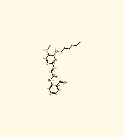 CCCCCCOc1cc(/C=C/C(=O)Nc2ccccc2C=O)ccc1OC